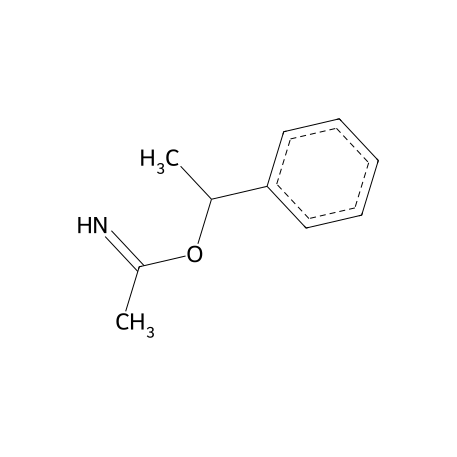 CC(=N)OC(C)c1ccccc1